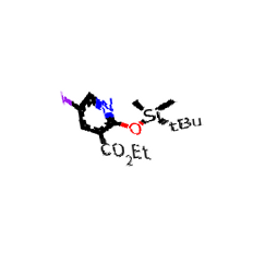 CCOC(=O)c1cc(I)cnc1O[Si](C)(C)C(C)(C)C